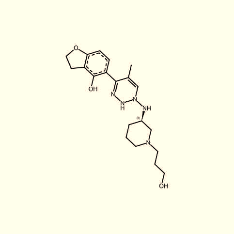 CC1=CN(N[C@@H]2CCCN(CCCO)C2)NN=C1c1ccc2c(c1O)CCO2